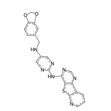 c1cnc2sc3c(Nc4ncc(NCc5ccc6c(c5)OCO6)cn4)ncnc3c2c1